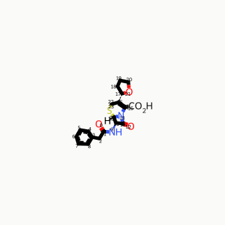 O=C(Cc1ccccc1)N[C@@H]1C(=O)N2C(C(=O)O)=C([C@@H]3CCCO3)CS[C@H]12